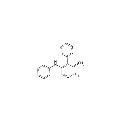 C=C/C(=C(\C=C/C)Nc1ccccc1)c1ccccc1